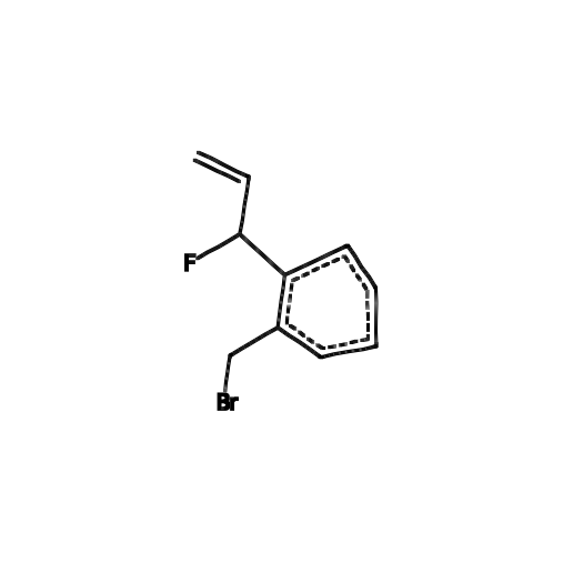 C=CC(F)c1ccccc1CBr